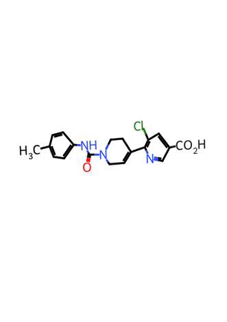 Cc1ccc(NC(=O)N2CC=C(c3ncc(C(=O)O)cc3Cl)CC2)cc1